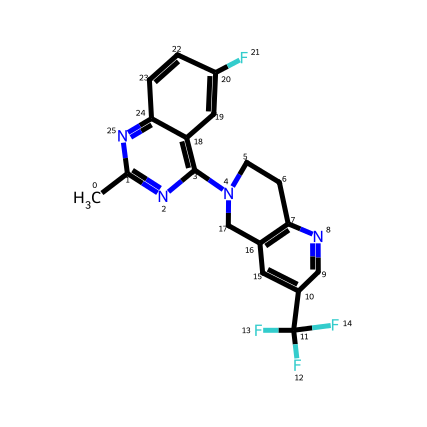 Cc1nc(N2CCc3ncc(C(F)(F)F)cc3C2)c2cc(F)ccc2n1